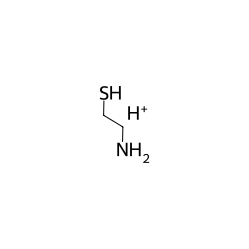 NCCS.[H+]